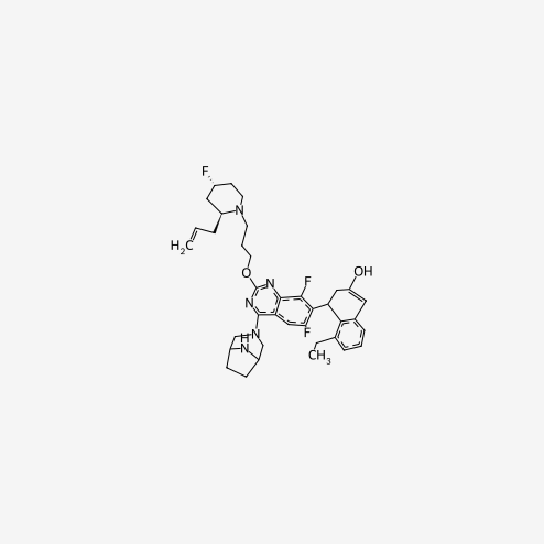 C=CC[C@H]1C[C@H](F)CCN1CCCOc1nc(N2CC3CCC(C2)N3)c2cc(F)c(C3CC(O)=Cc4cccc(CC)c43)c(F)c2n1